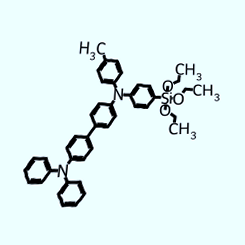 CCO[Si](OCC)(OCC)c1ccc(N(c2ccc(C)cc2)c2ccc(-c3ccc(N(c4ccccc4)c4ccccc4)cc3)cc2)cc1